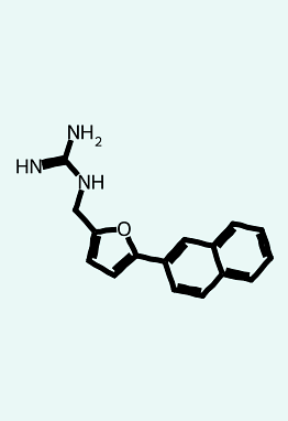 N=C(N)NCc1ccc(-c2ccc3ccccc3c2)o1